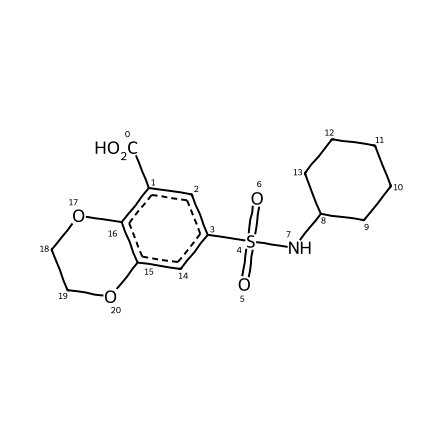 O=C(O)c1cc(S(=O)(=O)NC2CCCCC2)cc2c1OCCO2